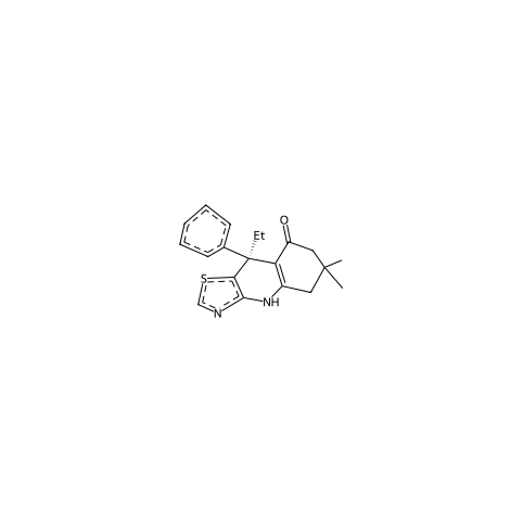 CC[C@]1(c2ccccc2)C2=C(CC(C)(C)CC2=O)Nc2ncsc21